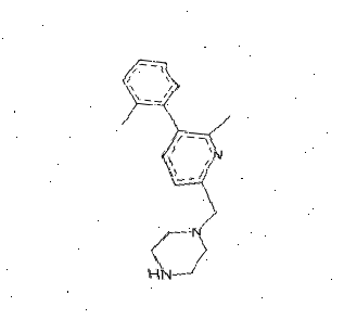 Cc1ccccc1-c1ccc(CN2CCNCC2)nc1C